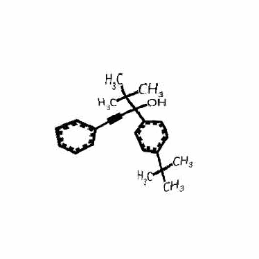 CC(C)(C)c1ccc(C(O)(C#Cc2ccccc2)C(C)(C)C)cc1